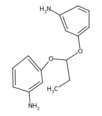 CCC(Oc1cccc(N)c1)Oc1cccc(N)c1